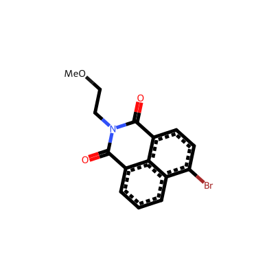 COCCN1C(=O)c2cccc3c(Br)ccc(c23)C1=O